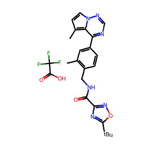 Cc1cc(-c2ncnn3ccc(C)c23)ccc1CNC(=O)c1noc(C(C)(C)C)n1.O=C(O)C(F)(F)F